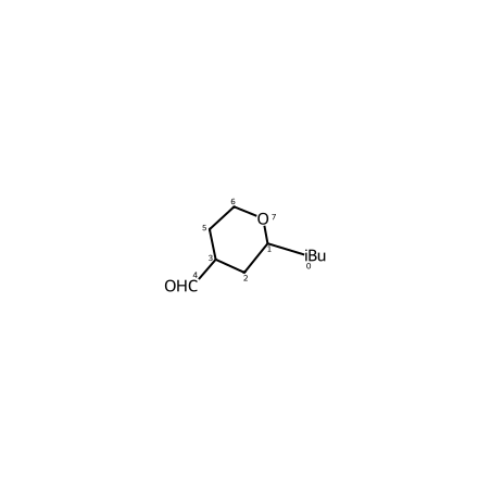 CCC(C)C1CC(C=O)CCO1